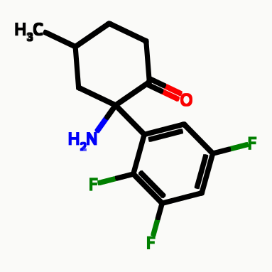 CC1CCC(=O)C(N)(c2cc(F)cc(F)c2F)C1